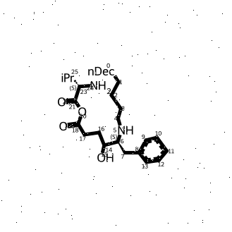 CCCCCCCCCCCCCCN[C@@H](Cc1ccccc1)C(O)CCC(=O)OC(=O)[C@@H](N)C(C)C